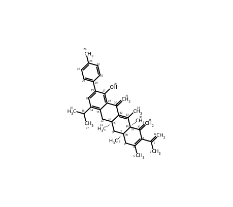 C=C(C)C1=C(C)C[C@@]2(C)C[C@@]3(C)Cc4c(C(C)C)cc(-c5ccc(C)cc5)c(O)c4C(=C)C3=C(C)[C@@]2(C)C1=C